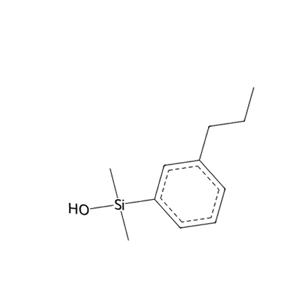 CCCc1cccc([Si](C)(C)O)c1